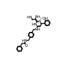 B/C(C=N)=C1\N=C(c2ccccc2O)C=C(NCc2ccc(CNC(=O)Cc3ccccc3)cc2)N1